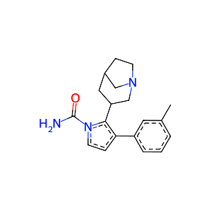 Cc1cccc(-c2ccn(C(N)=O)c2C2CC3CCN(C3)C2)c1